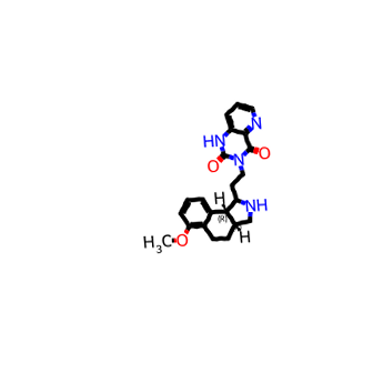 COc1cccc2c1CC[C@H]1CNC(CCn3c(=O)[nH]c4cccnc4c3=O)[C@@H]21